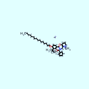 CCCCCCCCCCCCCCCCOc1ccc(C(=O)N(Cc2cccc[n+]2C)C(=O)c2ccccc2)cc1C(C)(C)C.[I-]